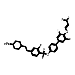 CCCC1CCC(CCc2ccc(C(F)(F)Oc3ccc(-c4cc(F)c(O/C=C/C(F)F)c(F)c4)cc3)c(F)c2)CC1